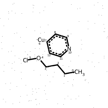 CCCCOCl.[Cu].c1ccncc1